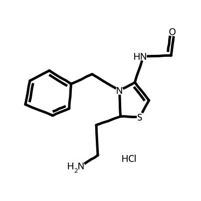 Cl.NCCC1SC=C(NC=O)N1Cc1ccccc1